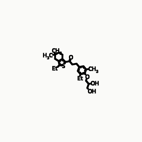 CCc1cc(CCC(=O)c2sc(CC)c3c2CCC(C)(C)C3)cc(C)c1OCC(O)CO